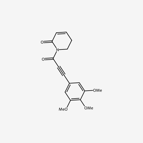 COc1cc(C#CC(=O)N2CCC=CC2=O)cc(OC)c1OC